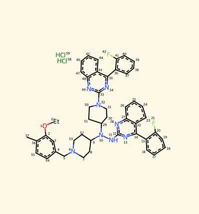 CCOc1cc(CN2CCC(N(Nc3nc(-c4ccccc4F)c4ccccc4n3)C3CCN(c4nc(-c5ccccc5F)c5ccccc5n4)CC3)CC2)ccc1C.Cl.Cl